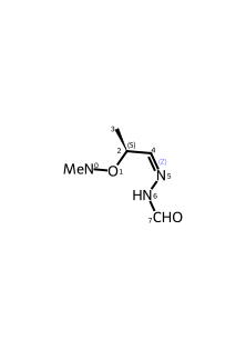 CNO[C@@H](C)/C=N\NC=O